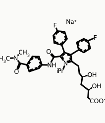 CC(C)n1c(CC[C@@H](O)C[C@@H](O)CC(=O)[O-])c(-c2ccc(F)cc2)c(-c2ccc(F)cc2)c1C(=O)Nc1ccc(C(=O)N(C)C)cc1.[Na+]